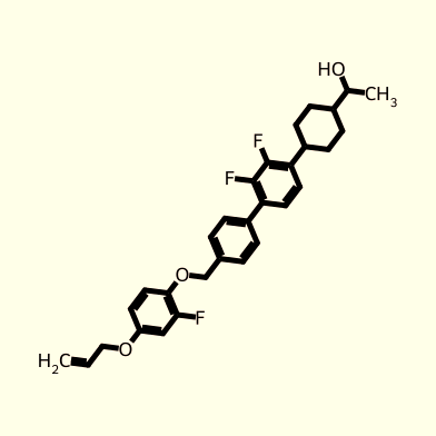 C=CCOc1ccc(OCc2ccc(-c3ccc(C4CCC(C(C)O)CC4)c(F)c3F)cc2)c(F)c1